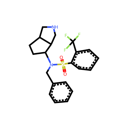 O=S(=O)(c1ccccc1C(F)(F)F)N(Cc1ccccc1)C1CCC2CNCC21